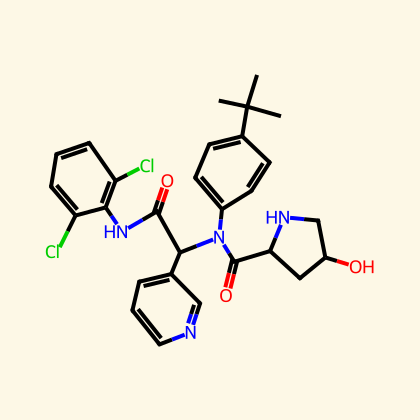 CC(C)(C)c1ccc(N(C(=O)C2CC(O)CN2)C(C(=O)Nc2c(Cl)cccc2Cl)c2cccnc2)cc1